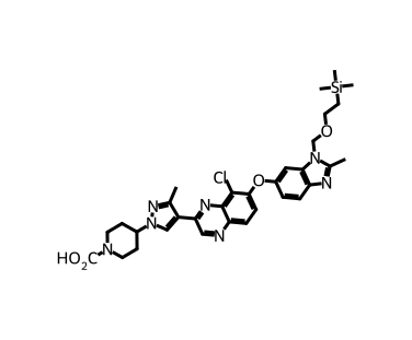 Cc1nn(C2CCN(C(=O)O)CC2)cc1-c1cnc2ccc(Oc3ccc4nc(C)n(COCC[Si](C)(C)C)c4c3)c(Cl)c2n1